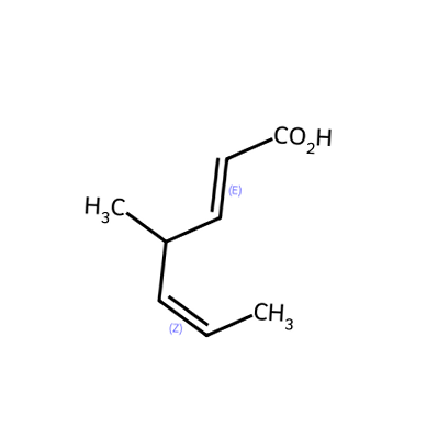 C/C=C\C(C)/C=C/C(=O)O